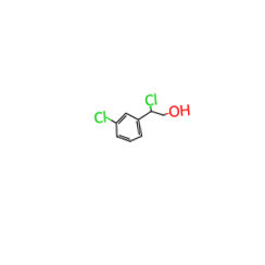 OC[C@H](Cl)c1cccc(Cl)c1